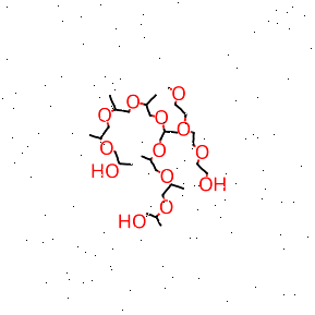 CC(O)COC(C)COC(C)COC(C)COC(C)COC(C)COC(C)COC(C)CO.COCCOCCOCCO